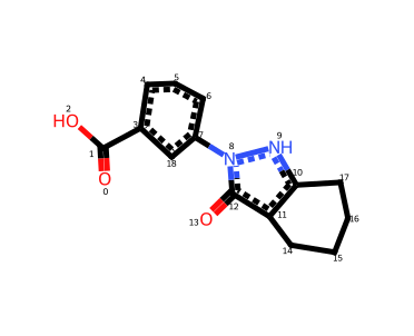 O=C(O)c1cccc(-n2[nH]c3c(c2=O)CCCC3)c1